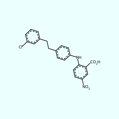 O=C(O)c1cc([N+](=O)[O-])ccc1Nc1ccc(CCc2cccc(Cl)c2)cc1